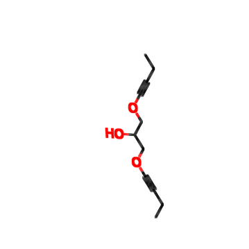 CCC#COCC(O)COC#CCC